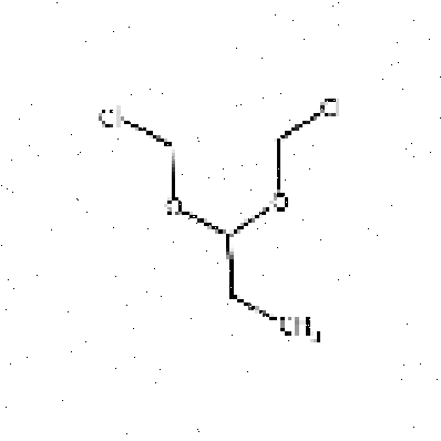 CCC(OCCl)OCCl